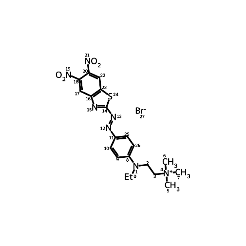 CCN(CC[N+](C)(C)C)c1ccc(/N=N/c2nc3cc([N+](=O)[O-])c([N+](=O)[O-])cc3s2)cc1.[Br-]